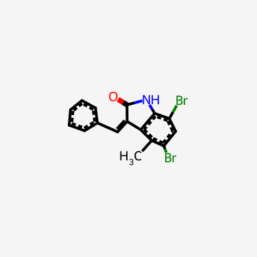 Cc1c(Br)cc(Br)c2c1C(=Cc1ccccc1)C(=O)N2